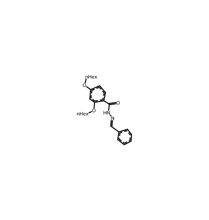 CCCCCCOc1ccc(C(=O)N/N=C/c2ccccc2)c(OCCCCCC)c1